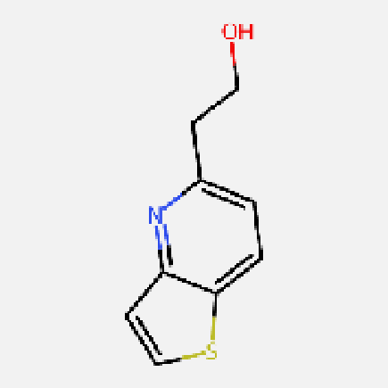 OCCc1ccc2sccc2n1